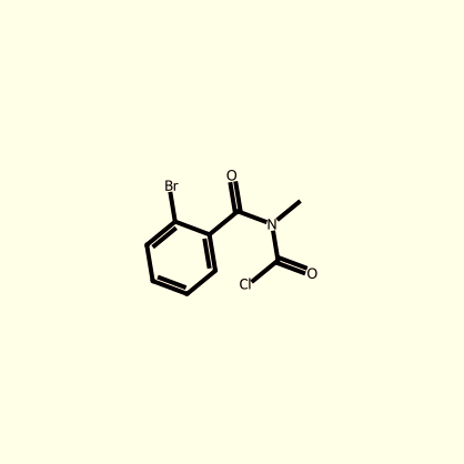 CN(C(=O)Cl)C(=O)c1ccccc1Br